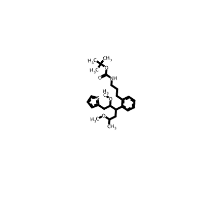 COC(C)CC(c1ccccc1CCCNC(=O)OC(C)(C)C)C(Cc1cccs1)OC